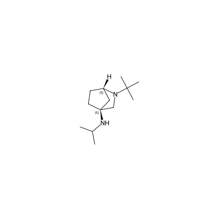 CC(C)N[C@@]12CC[C@@H](C1)N(C(C)(C)C)C2